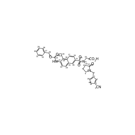 N#Cc1cc(CN2CC[C@H](N(CC(=O)O)S(=O)(=O)c3ccc4c(Cl)c(NC(=O)OCc5ccccc5)ccc4c3)C2=O)cs1